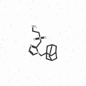 NCCS(=O)(=O)Cc1nccn1CC12CC3CC(CC(C3)C1)C2